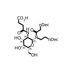 CCCCCCCCCCCCN(C(=O)CCCCCCCCCCC)[C@@H]1O[C@H](CO)[C@H](O)[C@H](O)[C@H]1NC(=O)CCC(=O)O